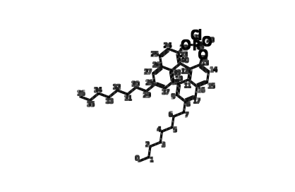 CCCCCCCCc1ccc2c3c(ccc2c1)OP(=O)(Cl)Oc1ccc2cc(CCCCCCCC)ccc2c1-3